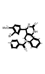 COc1ccc(C2NC(=O)NC3=C2CN(C(=O)c2ccncc2)c2ccccc23)cc1Br